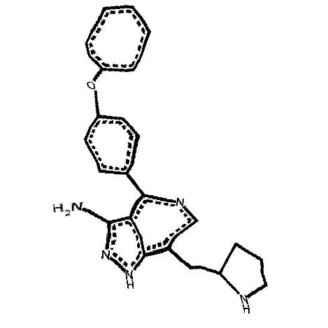 Nc1n[nH]c2c(CC3CCCN3)cnc(-c3ccc(Oc4ccccc4)cc3)c12